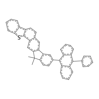 CC1(C)c2ccc(-c3c4ccccc4c(-c4ccccc4)c4ccccc34)cc2-c2cc3ccc4c5ccccc5sc4c3cc21